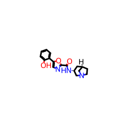 O=C(N[C@@H]1C[C@H]2CCN(C2)C1)c1ncc(-c2ccccc2O)o1